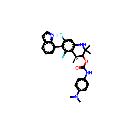 C[C@H]1c2c(cc(F)c(-c3cccc4cc[nH]c34)c2F)NC(C)(C)C1OC(=O)Nc1ccc(N(C)C)cc1